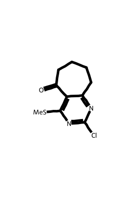 CSc1nc(Cl)nc2c1C(=O)CCCC2